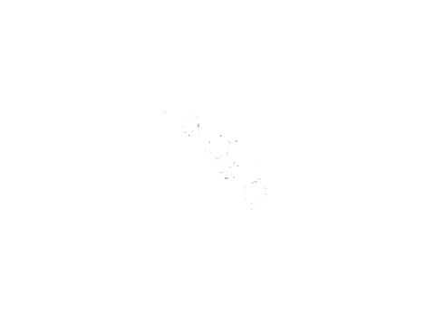 CCc1nc(-c2ccc(NC(=O)c3ccccc3F)cc2)c(C)o1